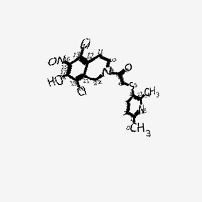 Cc1ccc(SCC(=O)N2CCc3c(Cl)c(N=O)c(O)c(Cl)c3C2)c(C)n1